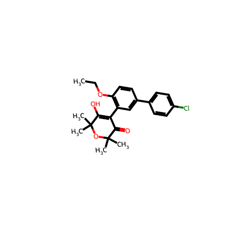 CCOc1ccc(-c2ccc(Cl)cc2)cc1C1=C(O)C(C)(C)OC(C)(C)C1=O